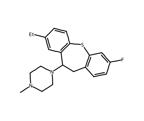 CCc1ccc2c(c1)C(N1CCN(C)CC1)Cc1ccc(F)cc1S2